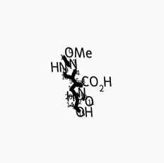 COCC1=NCC(C2=C(C(=O)O)N3C(=O)[C@H]([C@@H](C)O)[C@H]3C2)CN1